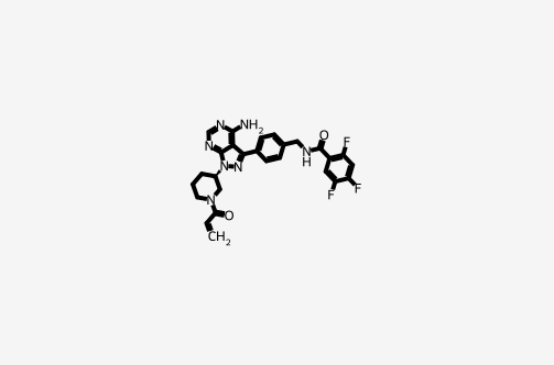 C=CC(=O)N1CCC[C@@H](n2nc(-c3ccc(CNC(=O)c4cc(F)c(F)cc4F)cc3)c3c(N)ncnc32)C1